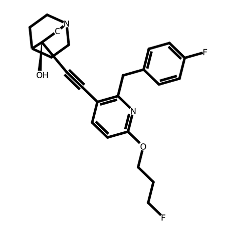 O[C@]1(C#Cc2ccc(OCCCF)nc2Cc2ccc(F)cc2)CN2CCC1CC2